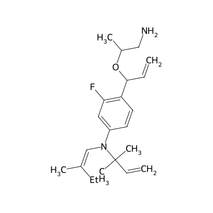 C=CC(OC(C)CN)c1ccc(N(/C=C(/C)CC)C(C)(C)C=C)cc1F